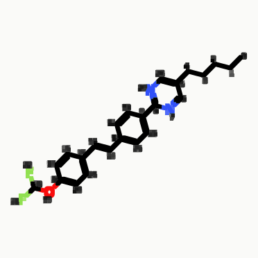 CCCCCc1cnc(-c2ccc(C=Cc3ccc(OC(F)F)cc3)cc2)nc1